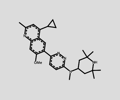 COc1cc2nc(C)cc(C3CC3)c2cc1-c1ccc(N(C)C2CC(C)(C)NC(C)(C)C2)nn1